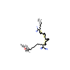 CCCCCCC(=C(C#N)C#N)c1ccc(-c2ccc(-c3ccc(-c4ccc(C(CCCCCCCCCC[Si](C)(C)O[SiH](C)C)=C(C#N)C#N)s4)s3)s2)s1